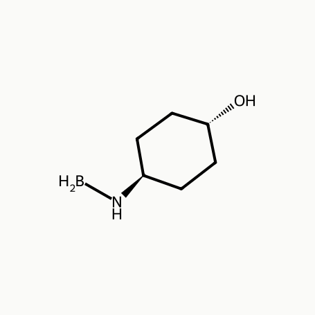 BN[C@H]1CC[C@H](O)CC1